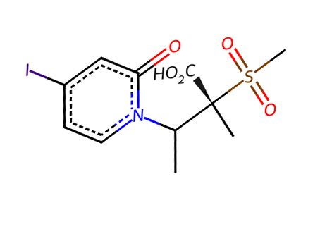 CC(n1ccc(I)cc1=O)[C@](C)(C(=O)O)S(C)(=O)=O